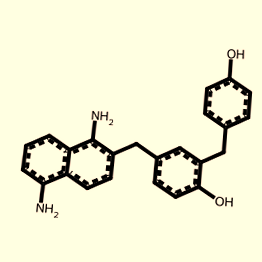 Nc1cccc2c(N)c(Cc3ccc(O)c(Cc4ccc(O)cc4)c3)ccc12